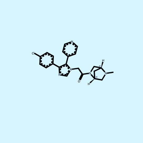 CN1C[C@H]2C[C@@H]1CN2C(=O)Cn1cnc(-c2ccc(Cl)cc2)c1-c1ccncc1